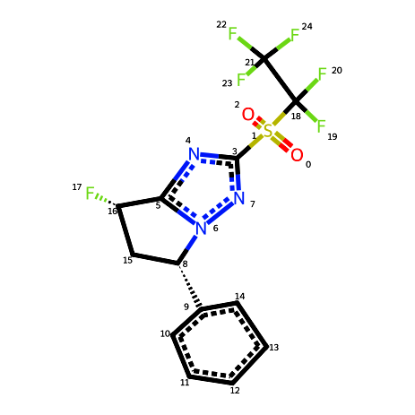 O=S(=O)(c1nc2n(n1)[C@H](c1ccccc1)C[C@@H]2F)C(F)(F)C(F)(F)F